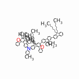 CCCCCCCC1(CCCCCCC)c2ccccc2-c2ccc(-c3ccc4c(c3)C(C)(C)c3cc(-c5cc6c(c7c5oc5ccccc57)-c5ccc(N(c7ccc(C)cc7)c7ccc8c(c7)C(C)(C)c7c9c(c%10oc%11ccccc%11c%10c7-8)-c7ccccc7C9(C)C)cc5C6(CCCCCCC)CCCCCCC)ccc3-4)cc21